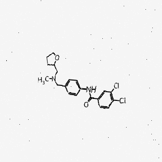 CN(Cc1ccc(NC(=O)c2ccc(Cl)c(Cl)c2)cc1)CC1CCCO1